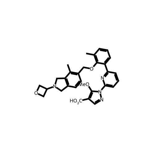 COc1c(C(=O)O)cnn1-c1cccc(-c2cccc(C)c2OCc2ccc3c(c2C)CN(C2COC2)C3)n1